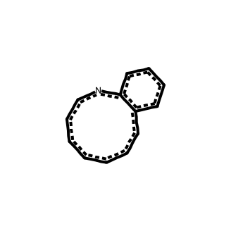 c1cccnc2ccccc2ccc1